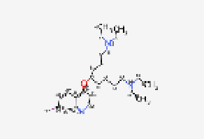 CCN(CC)CCCCC(CCCCN(CC)CC)Oc1ccnc2cc(I)ccc12